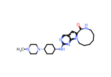 CN1CCN([C@H]2CC[C@H](Nc3ncc4cc5n(c4n3)CCCCCCNC5=O)CC2)CC1